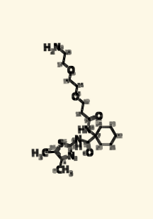 Cc1nc(NC(=O)C2(NC(=O)CCOCCOCCN)CCCCC2)sc1C